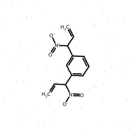 C=CC(c1cccc(C(C=C)[N+](=O)[O-])c1)[N+](=O)[O-]